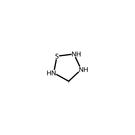 [CH]1NNSN1